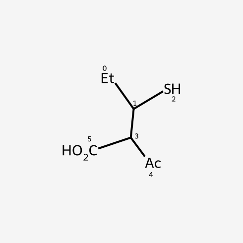 CCC(S)C(C(C)=O)C(=O)O